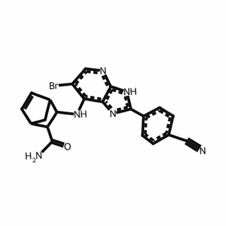 N#Cc1ccc(-c2nc3c(NC4C5C=CC(C5)C4C(N)=O)c(Br)cnc3[nH]2)cc1